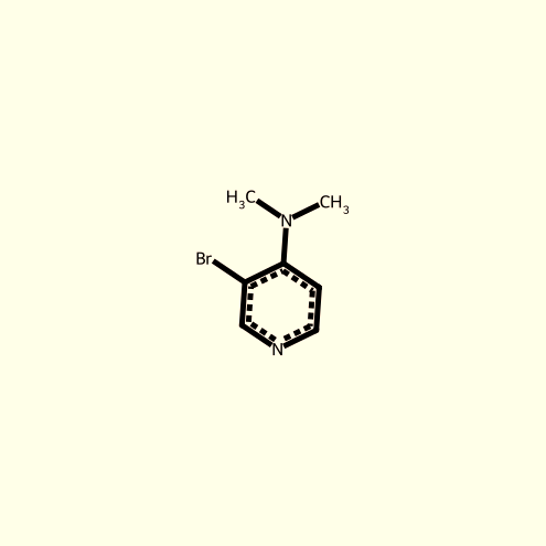 CN(C)c1ccncc1Br